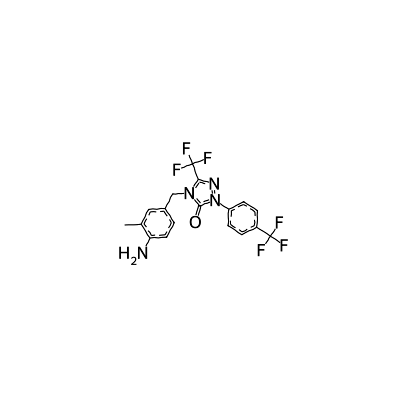 Cc1cc(Cn2c(C(F)(F)F)nn(-c3ccc(C(F)(F)F)cc3)c2=O)ccc1N